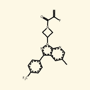 C=C(F)C(=O)N1CC(n2nc(-c3ccc(C(F)(F)F)cc3)c3cc(C)cnc32)C1